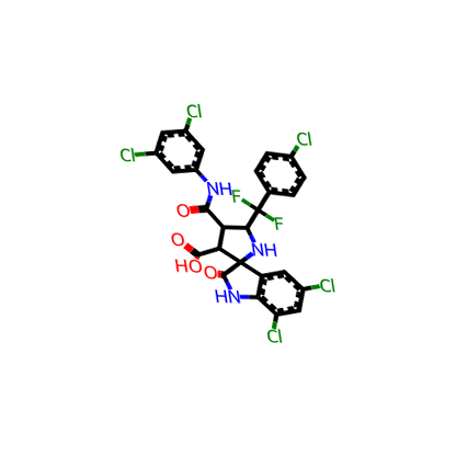 O=C(Nc1cc(Cl)cc(Cl)c1)C1C(C(F)(F)c2ccc(Cl)cc2)NC2(C(=O)Nc3c(Cl)cc(Cl)cc32)C1C(=O)O